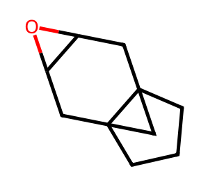 C1CC23CC4OC4CC2(C1)C3